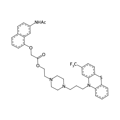 CC(=O)Nc1ccc2cccc(OCC(=O)OCCN3CCN(CCCN4c5ccccc5Sc5ccc(C(F)(F)F)cc54)CC3)c2c1